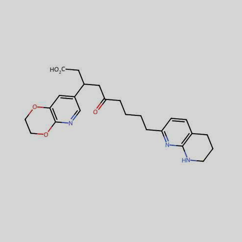 O=C(O)CC(CC(=O)CCCCc1ccc2c(n1)NCCC2)c1cnc2c(c1)OCCO2